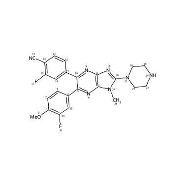 COc1ccc(-c2nc3c(nc2-c2ccc(C#N)c(F)c2)nc(N2CCNCC2)n3C)cc1F